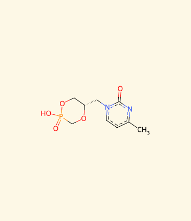 Cc1ccn(C[C@H]2COP(=O)(O)CO2)c(=O)n1